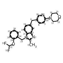 Cc1nc2cc(Cc3ccc(N4CCOCC4)nc3)ccc2n1Cc1ccccc1OC(F)F